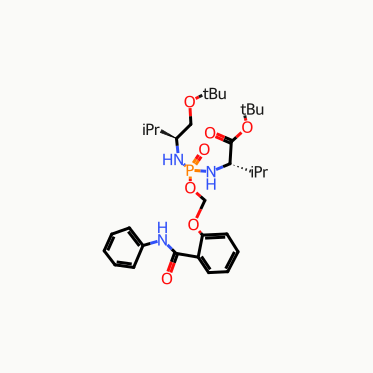 CC(C)[C@H](NP(=O)(N[C@H](COC(C)(C)C)C(C)C)OCOc1ccccc1C(=O)Nc1ccccc1)C(=O)OC(C)(C)C